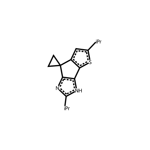 CC(C)c1nc2c([nH]1)-c1sc(C(C)C)cc1C21CC1